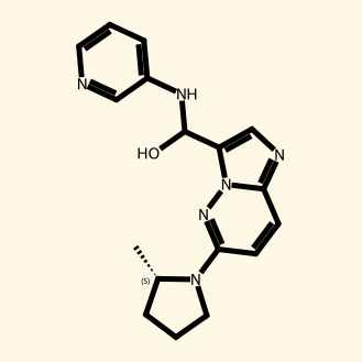 C[C@H]1CCCN1c1ccc2ncc(C(O)Nc3cccnc3)n2n1